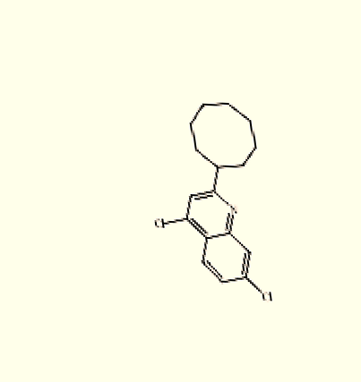 Clc1ccc2c(Cl)cc(C3CCCCCCC3)nc2c1